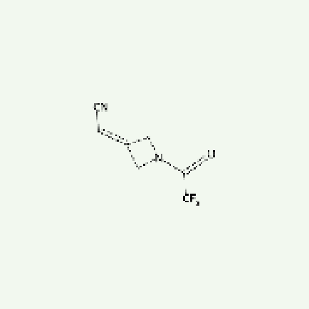 N#CC=C1CN(C(=O)C(F)(F)F)C1